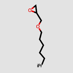 CC(C)CCCCCOCC1CO1